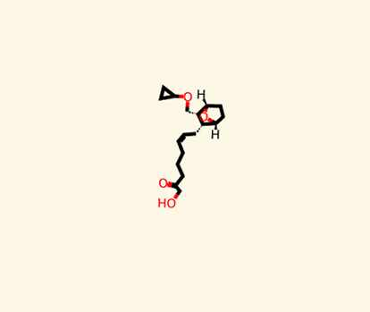 O=C(CO)CCC/C=C\C[C@@H]1[C@H](COC2CC2)[C@@H]2CC[C@H]1O2